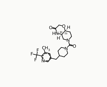 Cc1cc(CC2CCN(C(=O)N3CC[C@@H]4OCC(=O)N[C@@H]4C3)CC2)cnc1C(F)(F)F